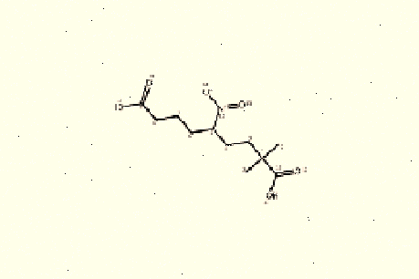 CC(C)(CCC(CCCC(=O)O)[N+](=O)[O-])C(=O)O